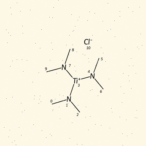 C[N](C)[Ti+]([N](C)C)[N](C)C.[Cl-]